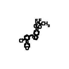 CC(OC(=O)N1CCC2(CCCN2Cc2ccc(Cl)c(N3CCOCC3)c2)CC1)C(F)(F)F